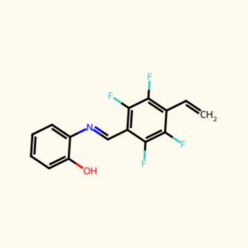 C=Cc1c(F)c(F)c(/C=N/c2ccccc2O)c(F)c1F